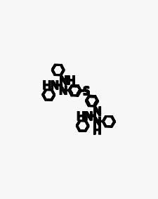 c1cc(Sc2ccc(N=C(NC3CCCCC3)NC3CCCCC3)cc2)ccc1N=C(NC1CCCCC1)NC1CCCCC1